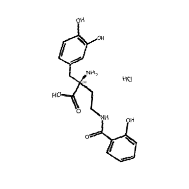 Cl.N[C@](CCNC(=O)c1ccccc1O)(Cc1ccc(O)c(O)c1)C(=O)O